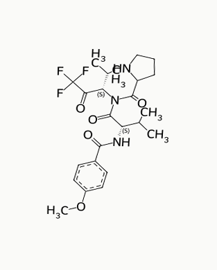 COc1ccc(C(=O)N[C@H](C(=O)N(C(=O)C2CCCN2)[C@H](C(=O)C(F)(F)F)C(C)C)C(C)C)cc1